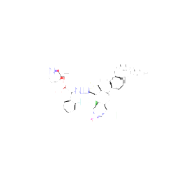 COc1ccc([C@H](Cc2c(Cl)c[n+]([O-])cc2Cl)c2cc(CNC(C(=O)O[C@H]3CN4CCC3CC4)c3ccccc3F)sc2C(=O)O)cc1OC